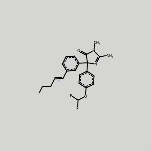 CN1C(=O)C(c2ccc(OC(F)F)cc2)(c2cccc(/C=C/CCF)c2)N=C1N